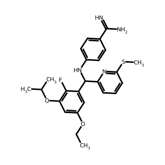 CCOc1cc(OC(C)C)c(F)c(C(Nc2ccc(C(=N)N)cc2)c2cccc(SC)n2)c1